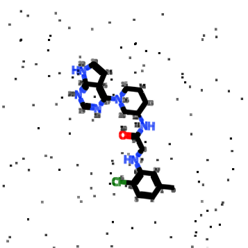 Cc1ccc(Cl)c(NCC(=O)N[C@@H]2CCCN(c3ncnc4[nH]ccc34)C2)c1